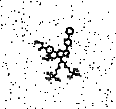 CCCC(Cc1c(C2CCN(C(=O)OC(C)(C)C)CC2)nc2c(-c3ccc(-c4ccccc4)nc3)cnn2c1N(COCC[Si](C)(C)C)COCC[Si](C)(C)C)OCC